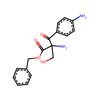 Nc1ccc(C(=O)C(N)(CO)C(=O)OCc2ccccc2)cc1